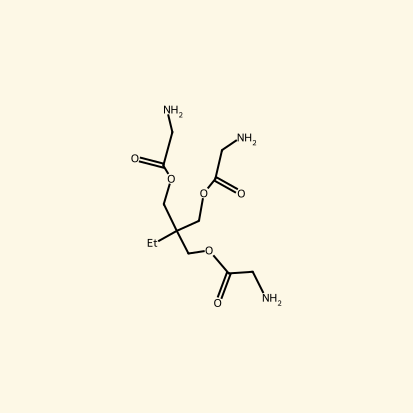 CCC(COC(=O)CN)(COC(=O)CN)COC(=O)CN